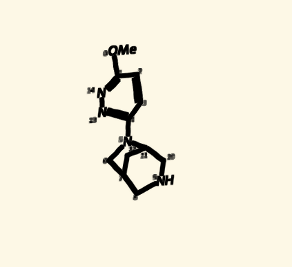 COc1ccc(N2CC3CNCC2C3)nn1